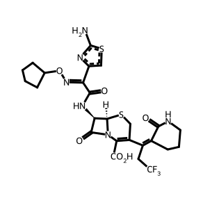 Nc1nc(C(=NOC2CCCC2)C(=O)N[C@@H]2C(=O)N3C(C(=O)O)=C(C(CC(F)(F)F)=C4CCCNC4=O)CS[C@H]23)cs1